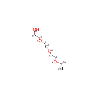 C=C(CC)OCCOCCOCCO